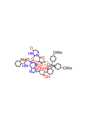 COCCO[C@H]1[C@H](P(O)(O)(O)CC(C#N)C[C@H]2O[C@@H](n3cnc4c(NC(=O)c5ccccc5)ncnc43)C[C@@H]2O)[C@@H](COC(c2ccccc2)(c2ccc(OC)cc2)c2ccc(OC)cc2)O[C@H]1n1ccc(=O)[nH]c1=O